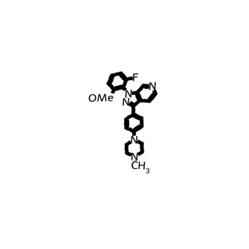 COc1cccc(F)c1-n1nc(-c2ccc(N3CCN(C)CC3)cc2)c2ccncc21